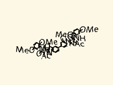 COc1ccc(OC)c(NC(=O)C(N=Nc2ccc(-c3ccc(N=NC(C(C)=O)C(=O)Nc4cc(OC)ccc4OC)c(Cl)c3)cc2Cl)C(C)=O)c1